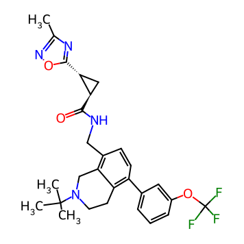 Cc1noc([C@@H]2C[C@H]2C(=O)NCc2ccc(-c3cccc(OC(F)(F)F)c3)c3c2CN(C(C)(C)C)CC3)n1